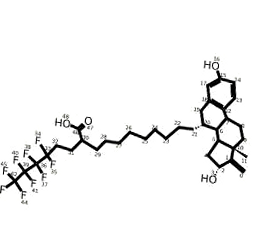 C=C1[C@H](O)CC2C3C(CC[C@]12C)c1ccc(O)cc1C[C@H]3CCCCCCCCCC(CCC(F)(F)C(F)(F)C(F)(F)C(F)(F)F)C(=O)O